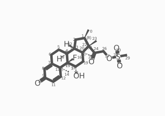 C[C@@H]1C[C@H]2[C@@H]3CCC4=CC(=O)C=C[C@]4(C)[C@@]3(F)[C@@H](O)C[C@]2(C)[C@@]1(C)C(=O)COS(C)(=O)=O